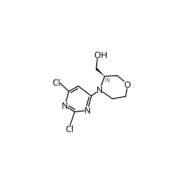 OC[C@H]1COCCN1c1cc(Cl)nc(Cl)n1